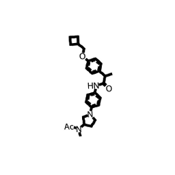 CC(=O)N(C)C1CCN(c2ccc(NC(=O)C(C)c3ccc(OCC4CCC4)cc3)cc2)C1